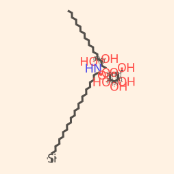 CCCCCCCCCCCCCC[C@@H](O)[C@@H](O)C(CO[C@H]1O[C@H](CO)[C@H](O)[C@H](O)[C@H]1O)NC(=O)CCCCCCCCCCCCCCCCCCCCCCC[Si](C)(C)C